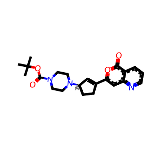 CC(C)(C)OC(=O)N1CCN([C@H]2C=C(c3cc4ncccc4c(=O)o3)CC2)CC1